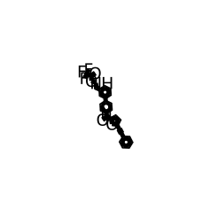 O=C(c1ccc(C#Cc2ccccc2)o1)N1CCC(c2cccc(CNOC(=O)C(F)(F)F)c2)CC1